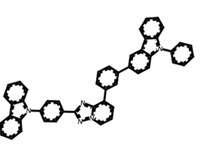 c1ccc(-n2c3ccccc3c3cc(-c4cccc(-c5cccn6nc(-c7ccc(-n8c9ccccc9c9ccccc98)cc7)nc56)c4)ccc32)cc1